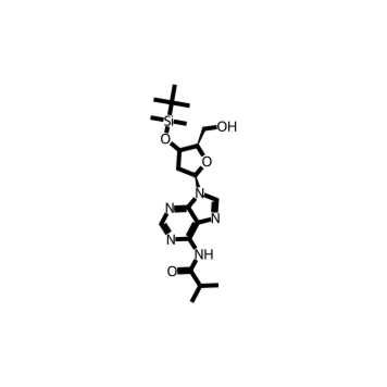 CC(C)C(=O)Nc1ncnc2c1ncn2[C@H]1CC(O[Si](C)(C)C(C)(C)C)[C@@H](CO)O1